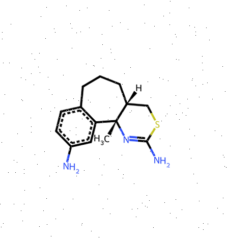 C[C@]12N=C(N)SC[C@H]1CCCc1ccc(N)cc12